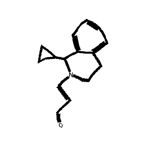 O=CC=CN1CCc2ccccc2C1C1CC1